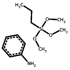 CCC[Si](OC)(OC)OC.Nc1ccccc1